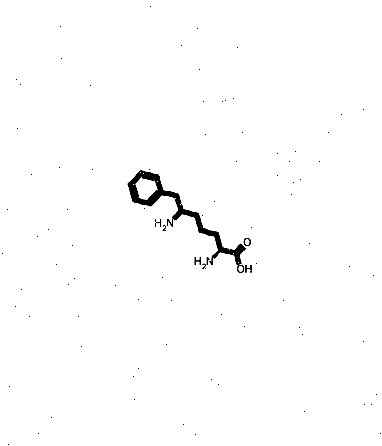 NC(CCC[C@H](N)C(=O)O)Cc1ccccc1